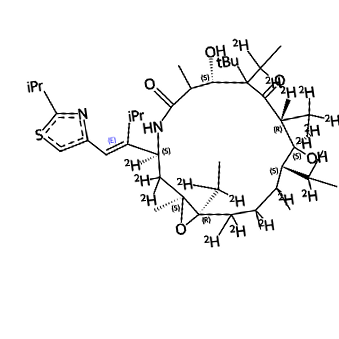 [2H]C(C)(C)[C@H]1C([2H])(C)C([2H])(C)C([2H])([2H])[C@@]2(C([2H])([2H])C)O[C@@]2(C)C([2H])([2H])[C@@]([2H])(/C(=C/c2csc(C(C)C)n2)C(C)C)NC(=O)C(C)[C@H](O)C(C([2H])([2H])C)(C(C)(C)C)C(=O)[C@]([2H])(C([2H])([2H])[2H])[C@@]1([2H])O